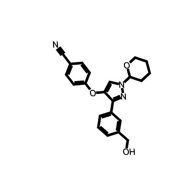 N#Cc1ccc(Oc2cn(C3CCCCO3)nc2-c2cccc(CO)c2)cc1